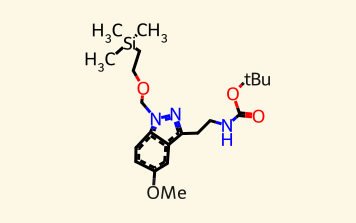 COc1ccc2c(c1)c(CCNC(=O)OC(C)(C)C)nn2COCC[Si](C)(C)C